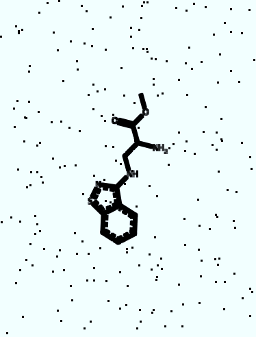 COC(=O)C(N)CNc1nsc2ccccc12